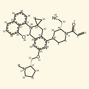 C=CC(=O)N1CCN(c2nc(OC[C@@H]3CCCN3C)nc3c2CC2(CC2)N(c2cccc4cccc(Cl)c24)C3)C[C@@H]1CC#N